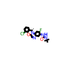 C[C@@H](c1cccc(Cl)c1)n1c(=O)cnc2cc(NC(=O)NC(C)(C)C)c(F)cc21